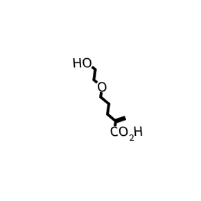 C=C(CCCOCCO)C(=O)O